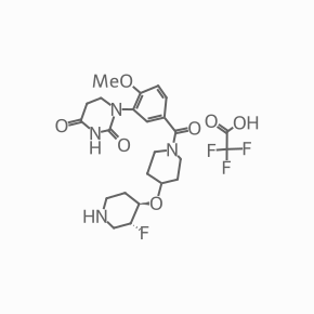 COc1ccc(C(=O)N2CCC(O[C@@H]3CCNC[C@H]3F)CC2)cc1N1CCC(=O)NC1=O.O=C(O)C(F)(F)F